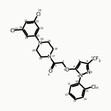 O=C(COc1cc(C(F)(F)F)nn1-c1ccccc1Cl)N1CCN(c2cc(Cl)cc(Cl)c2)CC1